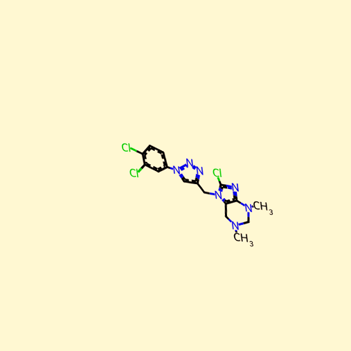 CN1Cc2c(nc(Cl)n2Cc2cn(-c3ccc(Cl)c(Cl)c3)nn2)N(C)C1